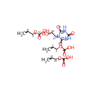 C=CCOC(=O)O.C=CCOC(=O)O.C=CCOC(=O)O.O=c1[nH]c(=O)n(CCO)c(=O)[nH]1